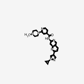 CN1CCN(c2cc(C(=O)Nc3cc4nc(-c5cnn(C6CC6)c5)ccc4cn3)ccn2)CC1